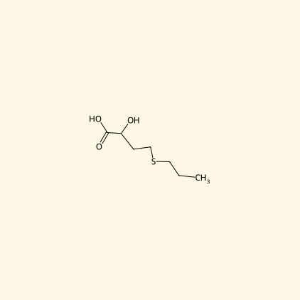 CCCSCCC(O)C(=O)O